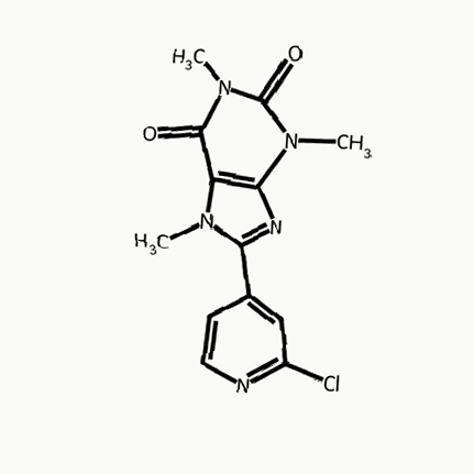 Cn1c(=O)c2c(nc(-c3ccnc(Cl)c3)n2C)n(C)c1=O